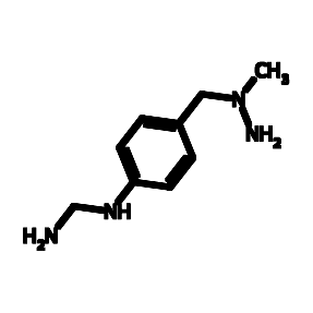 CN(N)Cc1ccc(NCN)cc1